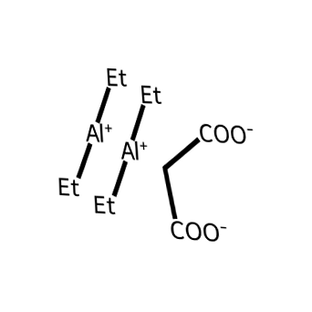 C[CH2][Al+][CH2]C.C[CH2][Al+][CH2]C.O=C([O-])CC(=O)[O-]